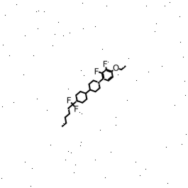 CCCCCC(F)(F)C1CCC(C2CCC(c3ccc(OCC)c(F)c3F)CC2)CC1